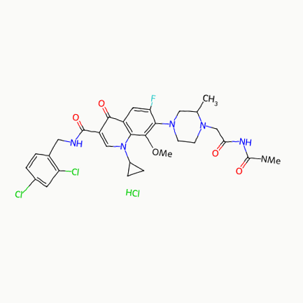 CNC(=O)NC(=O)CN1CCN(c2c(F)cc3c(=O)c(C(=O)NCc4ccc(Cl)cc4Cl)cn(C4CC4)c3c2OC)CC1C.Cl